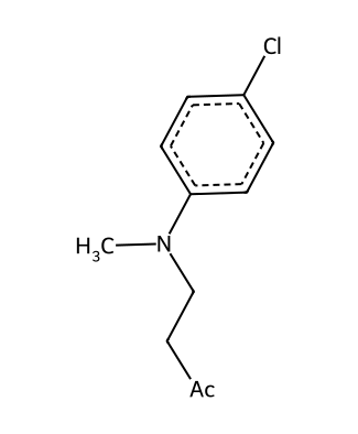 CC(=O)CCN(C)c1ccc(Cl)cc1